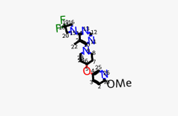 COc1ccc(OC2CCN(c3ncnc(N4CC(F)(F)C4)c3C)CC2)cn1